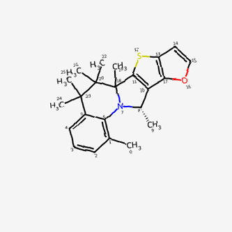 Cc1cccc2c1N1[C@@H](C)c3c(sc4ccoc34)C1(C)C(C)(C)C2(C)C